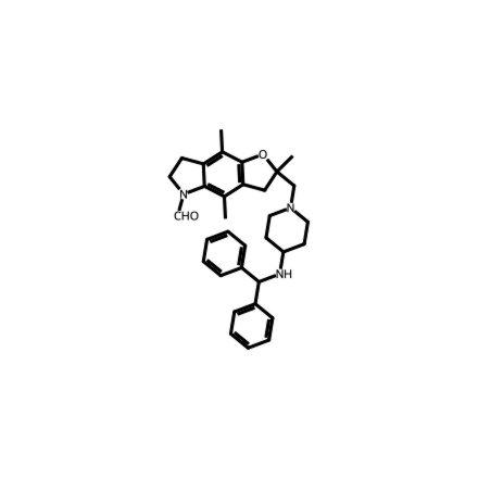 Cc1c2c(c(C)c3c1OC(C)(CN1CCC(NC(c4ccccc4)c4ccccc4)CC1)C3)N(C=O)CC2